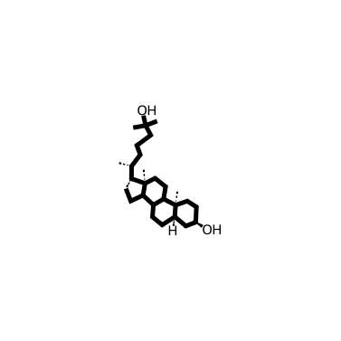 C[C@H](CCCC(C)(C)O)[C@H]1CCC2C3CC[C@@H]4C[C@H](O)CC[C@]4(C)C3CC[C@@]21C